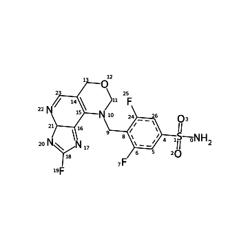 NS(=O)(=O)c1cc(F)c(CN2COCC3=C2C2=NC(F)=NC2N=C3)c(F)c1